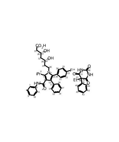 CC(C)c1c(C(=O)Nc2ccccc2)c(-c2ccccc2)c(-c2ccc(F)cc2)n1CC[C@@H](O)C[C@@H](O)CC(=O)O.CCC1(c2ccccc2)C(=O)NC(=O)NC1=O